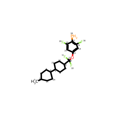 CC1CCC(C2CCC(C(F)(F)Oc3cc(F)c(P)c(F)c3)CC2)CC1